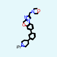 CC(C)N1CCC(c2cccc(-c3ccc4c(c3)OCc3nc(CN5CCOCC5)cn3-4)c2)CC1